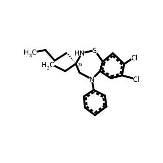 CCCC[C@@]1(CC)CN(c2ccccc2)c2cc(Cl)c(Cl)cc2SN1